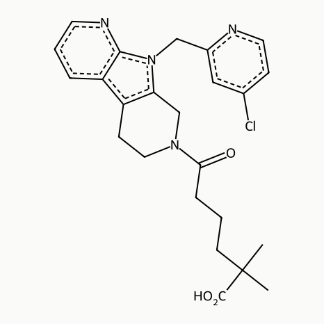 CC(C)(CCCC(=O)N1CCc2c(n(Cc3cc(Cl)ccn3)c3ncccc23)C1)C(=O)O